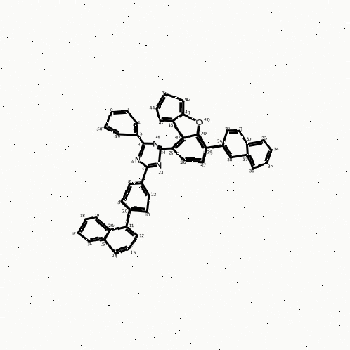 c1ccc(-c2nc(-c3ccc(-c4cccc5ccccc45)cc3)nc(-c3ccc(-c4ccc5ccccc5c4)c4oc5ccccc5c34)n2)cc1